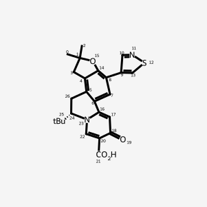 CC1(C)Cc2c3c(cc(-c4cnsc4)c2O1)-c1cc(=O)c(C(=O)O)cn1[C@H](C(C)(C)C)C3